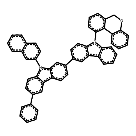 c1ccc(-c2ccc3c(c2)c2ccc(-c4ccc5c(c4)c4ccccc4n5-c4cccc5c4-c4ccccc4OC5)cc2n3-c2ccc3ccccc3c2)cc1